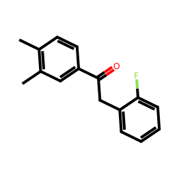 Cc1ccc(C(=O)Cc2ccccc2F)cc1C